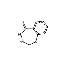 O=C1NNCSc2ccccc21